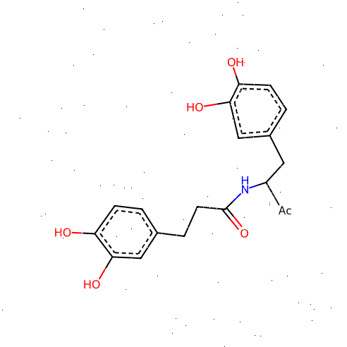 CC(=O)C(Cc1ccc(O)c(O)c1)NC(=O)CCc1ccc(O)c(O)c1